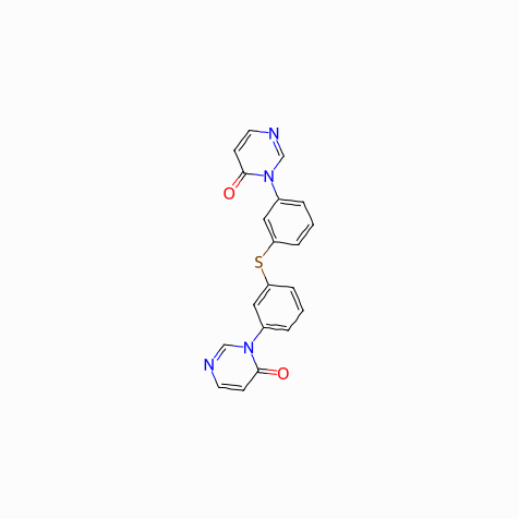 O=c1ccncn1-c1cccc(Sc2cccc(-n3cnccc3=O)c2)c1